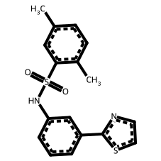 Cc1ccc(C)c(S(=O)(=O)Nc2cccc(-c3nccs3)c2)c1